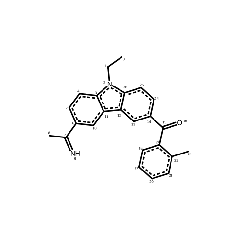 CCn1c2ccc(C(C)=N)cc2c2cc(C(=O)c3ccccc3C)ccc21